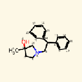 CC1(O)CCN(CC(c2ccccc2)c2ccccc2)C1